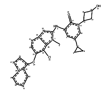 Cn1c(Nc2cc(C3CC3)cn(C3CC(O)C3)c2=O)nc2ncc(Oc3cnn4ccncc34)c(Cl)c21